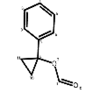 O=COC1(c2ccccc2)CC1